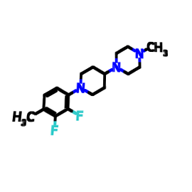 Cc1ccc(N2CCC(N3CCN(C)CC3)CC2)c(F)c1F